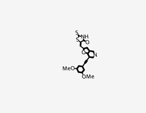 COc1cc(C#Cc2cncc3cc(C=C4SC(=S)NC4=O)oc23)cc(OC)c1